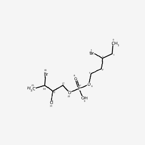 CCC(Br)CCOP(=O)(O)OCC(Cl)C(C)Br